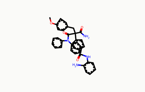 COc1ccc(CC(C(N)=O)(C(=O)N(c2ccccc2)c2ccccc2)c2ccc(C(=O)Nc3ccccc3N)cc2)cc1